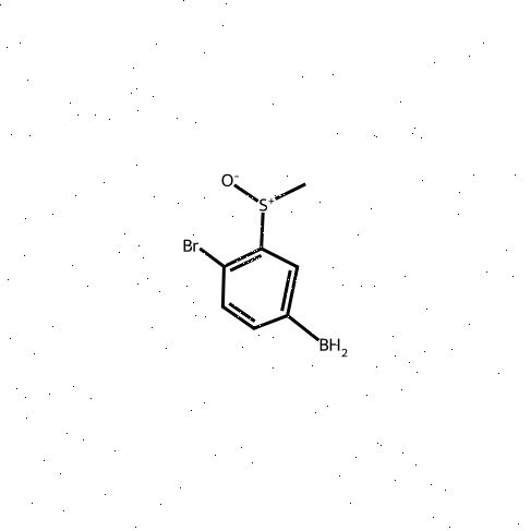 Bc1ccc(Br)c([S+](C)[O-])c1